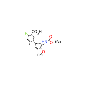 CCCOc1ccc(-c2cc(C(=O)O)c(F)cc2C)cc1CNC(=O)OC(C)(C)C